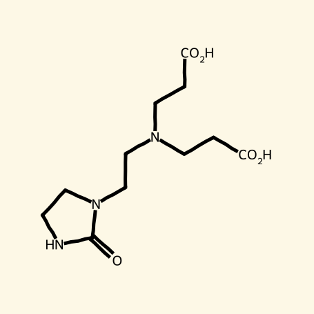 O=C(O)CCN(CCC(=O)O)CCN1CCNC1=O